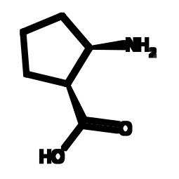 N[C@@H]1CCC[C@@H]1C(=O)O